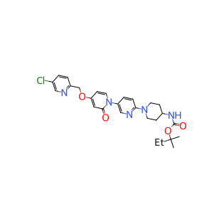 CCC(C)(C)OC(=O)NC1CCN(c2ccc(-n3ccc(OCc4ccc(Cl)cn4)cc3=O)cn2)CC1